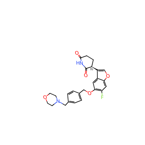 O=C1CC[C@@H](c2coc3cc(F)c(OCc4ccc(CN5CCOCC5)cc4)cc23)C(=O)N1